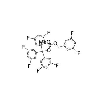 COB(OCc1cc(F)cc(F)c1)OC(c1cc(F)cc(F)c1)(c1cc(F)cc(F)c1)c1cc(F)cc(F)c1